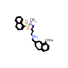 COc1cccc2c1CC(CNCCCCN(C)S(=O)(=O)c1cccc3ccccc13)CC2